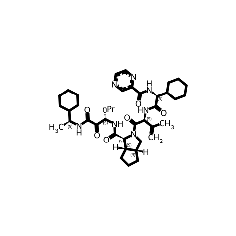 C=C(C)[C@H](NC(=O)[C@@H](NC(=O)c1cnccn1)C1CCCCC1)C(=O)N1C[C@@H]2CCC[C@@H]2[C@H]1C(=O)N[C@@H](CCC)C(=O)C(=O)N[C@@H](C)C1CCCCC1